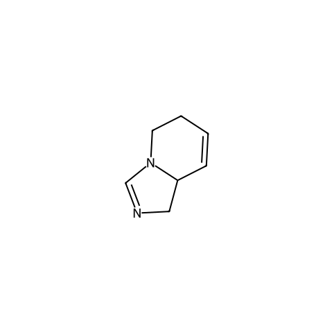 C1=CC2CN=CN2CC1